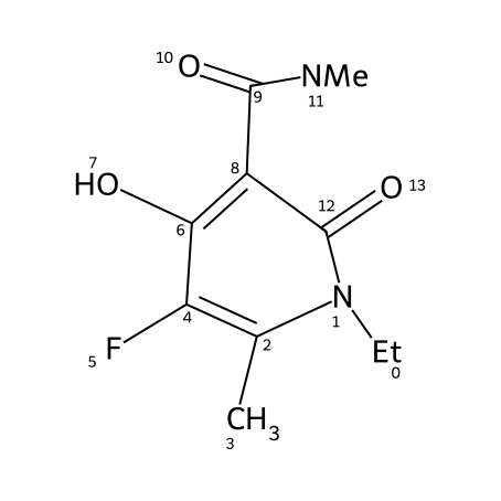 CCn1c(C)c(F)c(O)c(C(=O)NC)c1=O